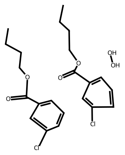 CCCCOC(=O)c1cccc(Cl)c1.CCCCOC(=O)c1cccc(Cl)c1.OO